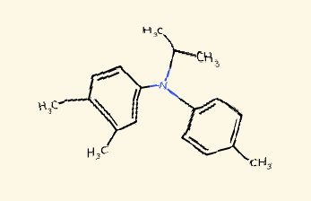 Cc1ccc(N(c2ccc(C)c(C)c2)C(C)C)cc1